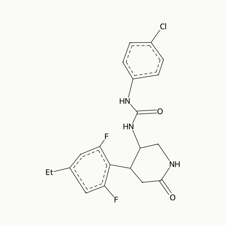 CCc1cc(F)c(C2CC(=O)NCC2NC(=O)Nc2ccc(Cl)cc2)c(F)c1